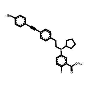 CCCCc1ccc(C#Cc2ccc(CCN(c3ccc(F)c(C(=O)OC)c3)C3CCCC3)cc2)cc1